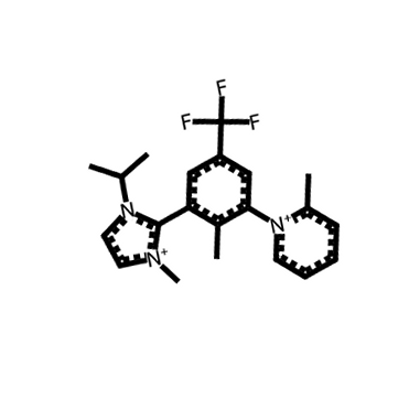 Cc1c(-c2n(C(C)C)cc[n+]2C)cc(C(F)(F)F)cc1-[n+]1ccccc1C